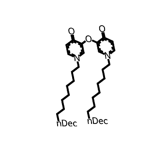 CCCCCCCCCCCCCCCCCCn1ccc(=O)c(Oc2cn(CCCCCCCCCCCCCCCCCC)ccc2=O)c1